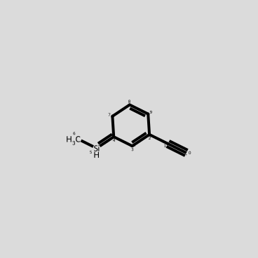 [C]#CC1=[C]C(=[SiH]C)CC=C1